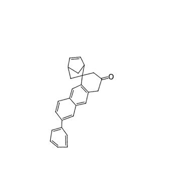 O=C1Cc2cc3cc(-c4ccccc4)ccc3cc2C2(C1)CC1C=CC2C1